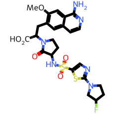 COc1cc2c(N)nccc2cc1CC(C(=O)O)N1CCC(NS(=O)(=O)c2cnc(N3CCC(F)C3)s2)C1=O